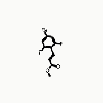 COC(=O)C=Cc1c(F)cc(Br)cc1F